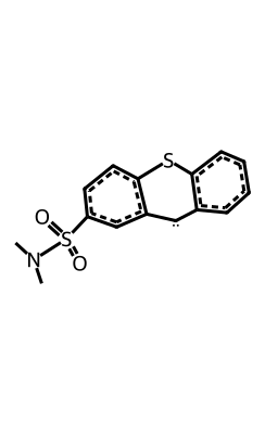 CN(C)S(=O)(=O)c1ccc2c(c1)[C]c1ccccc1S2